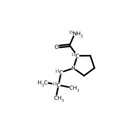 C[13C](C)(C)[13CH2]N1CCC[13CH]1C([15NH2])=O